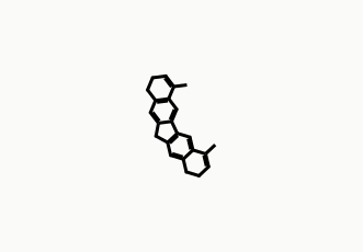 CC1=CCCc2cc3c(cc21)-c1cc2c(cc1C3)CCC=C2C